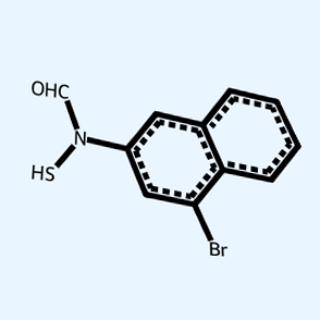 O=CN(S)c1cc(Br)c2ccccc2c1